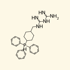 N=C(N)NC(=N)NCC1CCC([PH](c2ccccc2)(c2ccccc2)c2ccccc2)CC1